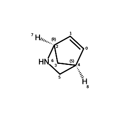 C1=C[C@H]2C[C@@H]1CN2